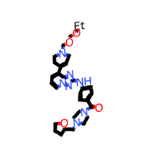 CCOCOCN1CC=C(c2cccn3nc(Nc4ccc(C(=O)N5CCN(CC6CCCO6)CC5)cc4)nc23)CC1